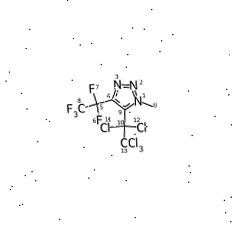 Cn1nnc(C(F)(F)C(F)(F)F)c1C(Cl)(Cl)C(Cl)(Cl)Cl